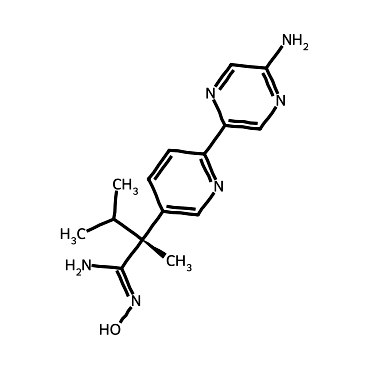 CC(C)[C@@](C)(/C(N)=N/O)c1ccc(-c2cnc(N)cn2)nc1